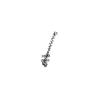 CCC=CCC=CCC=CCC=CCC=CCCCC(=O)NCCNC(=O)c1ccncn1